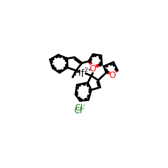 C[C]1([Hf+2][C]2(C)C(c3ccco3)=Cc3ccccc32)C(c2ccco2)=Cc2ccccc21.[Cl-].[Cl-]